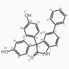 O=C1Nc2ccc(-c3ccccc3)cc2C1(c1ccc(O)cc1)c1ccc(O)cc1